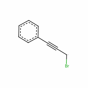 Br[CH]C#Cc1ccccc1